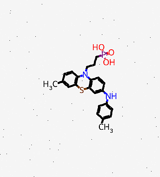 Cc1ccc(Nc2ccc3c(c2)Sc2cc(C)ccc2N3CCCP(=O)(O)O)cc1